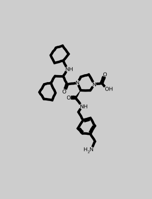 NCc1ccc(CNC(=O)[C@@H]2CN(C(=O)O)CCN2C(=O)C(CC2CCCCC2)NC2CCCCC2)cc1